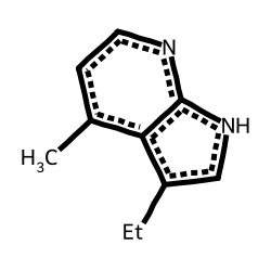 CCc1c[nH]c2nccc(C)c12